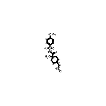 COc1ccc(S(=O)(=O)NC(=O)C2(C)CC=C(CNCl)CC2)cc1